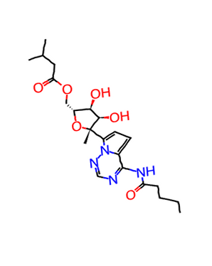 CCCCC(=O)Nc1ncnn2c([C@]3(C)O[C@H](COC(=O)CC(C)C)[C@@H](O)[C@H]3O)ccc12